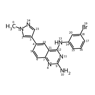 Cn1cc(-c2ccc3nc(N)nc(Nc4cccc(Br)c4)c3c2)cn1